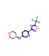 FC(F)(F)c1nc(-c2ccc(N=S3CCOCC3)cn2)no1